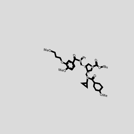 COCCCOc1cc(C(=O)N(C[C@@H]2CN(C(=O)OC(C)(C)C)C[C@H]2CN(C(=O)C2CCC(OC)CC2)C2CC2)C(C)C)ccc1OC